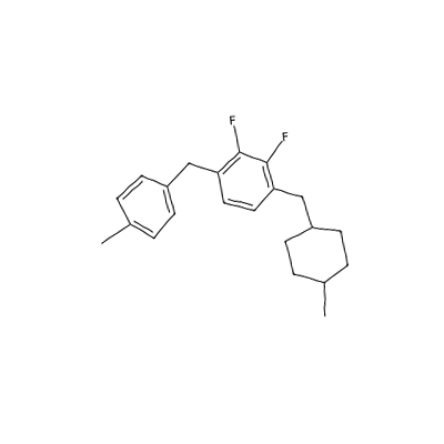 Cc1ccc(Cc2ccc(CC3CCC(C)CC3)c(F)c2F)cc1